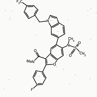 CNC(=O)c1c(-c2ccc(F)cc2)oc2cc(N(C)S(C)(=O)=O)c(-c3ccc4ccn(Cc5ccc(C(F)(F)F)cc5)c4c3)cc12